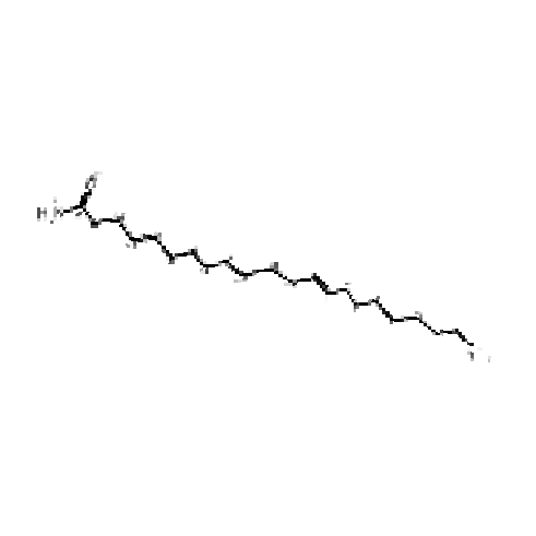 CCCCCCCC/C=C/CCCCCCCCCCCC(N)=O